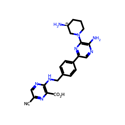 N#Cc1cnc(NCc2ccc(-c3cnc(N)c(N4CCC[C@H](N)C4)n3)cc2)c(C(=O)O)n1